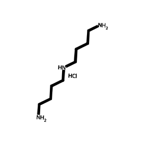 Cl.NCCCCNCCCCN